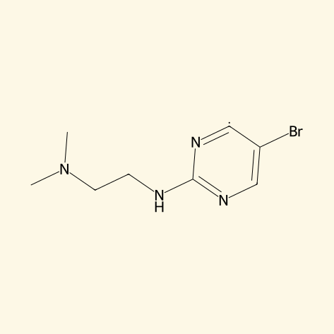 CN(C)CCNc1n[c]c(Br)cn1